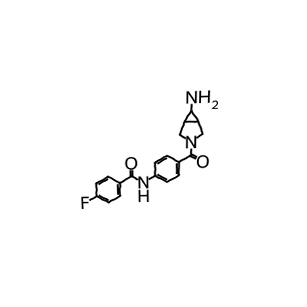 NC1C2CN(C(=O)c3ccc(NC(=O)c4ccc(F)cc4)cc3)CC12